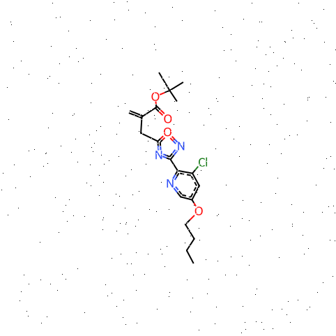 C=C(Cc1nc(-c2ncc(OCCCC)cc2Cl)no1)C(=O)OC(C)(C)C